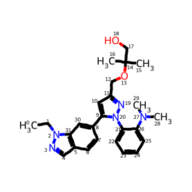 CCn1ncc2ccc(-c3cc(COC(C)(C)CO)nn3-c3ccccc3N(C)C)cc21